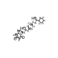 Cn1c(=O)c2c(ncn2CC(O)CN2CCN(CCC(S)c3ccccc3)CC2)n(C)c1=O